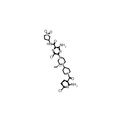 CC[C@H]1CN(c2nc(N)c(C(=O)NC3CCS(=O)(=O)C3)nc2Cl)CCN1C1CCN(C(=O)c2ccc(Cl)nc2N)CC1